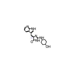 O=C1NC(NC2CCC(O)CC2)=N/C1=C\c1c[nH]c2ncccc12